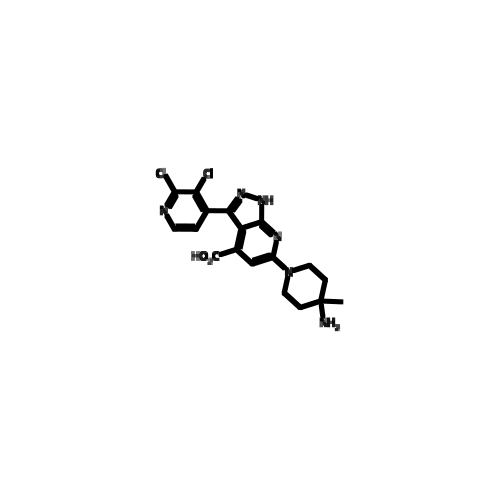 CC1(N)CCN(c2cc(C(=O)O)c3c(-c4ccnc(Cl)c4Cl)n[nH]c3n2)CC1